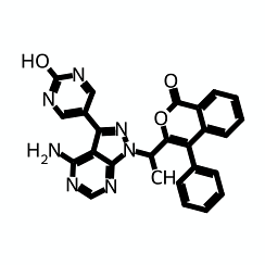 CC(c1oc(=O)c2ccccc2c1-c1ccccc1)n1nc(-c2cnc(O)nc2)c2c(N)ncnc21